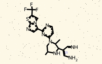 CC1CN(c2ccnc(-c3cnc4sc(C(F)(F)F)cn34)n2)C(C)C(/C(C=N)=C/N)N1